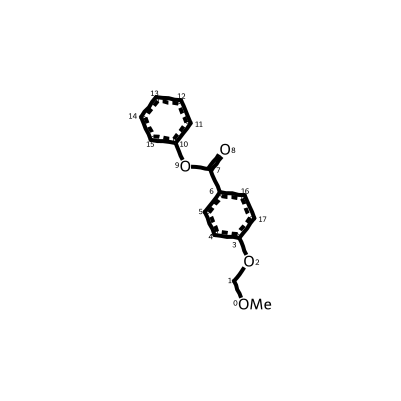 COCOc1ccc(C(=O)Oc2ccccc2)cc1